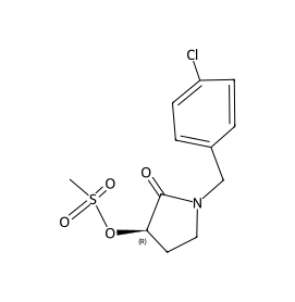 CS(=O)(=O)O[C@@H]1CCN(Cc2ccc(Cl)cc2)C1=O